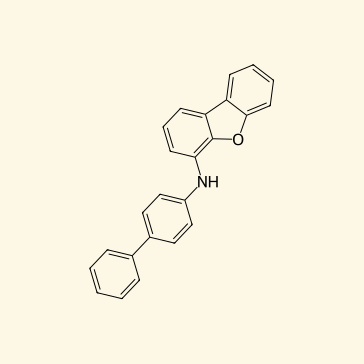 c1ccc(-c2ccc(Nc3cccc4c3oc3ccccc34)cc2)cc1